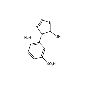 O=S(=O)(O)c1cccc(-n2nnnc2S)c1.[NaH]